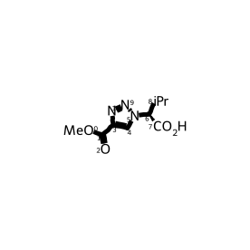 COC(=O)c1cn([C@H](C(=O)O)C(C)C)nn1